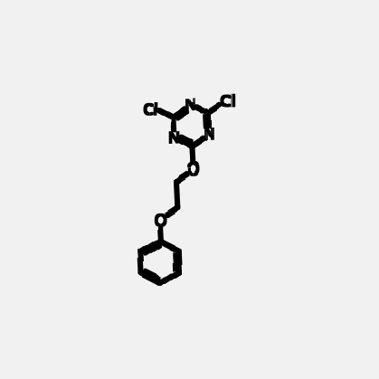 Clc1nc(Cl)nc(OCCOc2ccccc2)n1